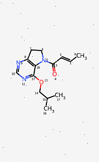 CC=CC(=O)N1CCc2ncnc(OCC(C)C)c21